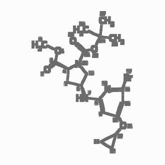 COC(=O)[C@@H]1C[C@H](Nc2cc(OC3CC3)cc(Br)n2)CN1C(=O)OC(C)(C)C